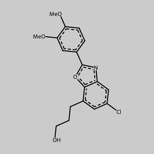 COc1ccc(-c2nc3cc(Cl)cc(CCCO)c3o2)cc1OC